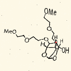 COCCOCCOC1C2OC3O[C@@H]1C(OCCOCCOC)[C@@H](O3)[C@@H]2O